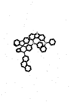 c1ccc2c(c#1)C1(c3ccccc3-2)c2ccccc2C(c2ccc3c(ccc4ccccc43)c2)c2ccc(N(c3ccccc3)c3cccc4sc5ccc(N(c6ccccc6)c6ccccc6)cc5c34)cc21